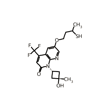 CC(S)CCOc1cnc2c(c1)c(C(F)(F)F)cc(=O)n2[C@H]1C[C@@](C)(O)C1